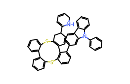 C1=CCNC(C2C=CC3=C(C2)Sc2ccccc2-c2ccccc2Sc2cccc(-c4ccc5c6ccccc6n(-c6ccccc6)c5c4)c23)=C1